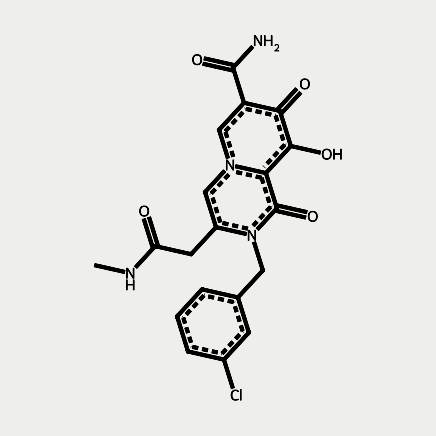 CNC(=O)Cc1cn2cc(C(N)=O)c(=O)c(O)c2c(=O)n1Cc1cccc(Cl)c1